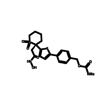 CNC(=O)OCc1ccc(-c2ccc([C@@]3(CC(=O)NO)CCCCS3(=O)=O)s2)cc1